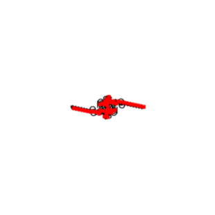 CCCCCCCCCCCCCCCC(=O)OCCC1CCN(CCCN2c3ccccc3Sc3cc(S(=O)(=O)N(C)C)cc(OC(=O)C(=O)Oc4cc(S(=O)(=O)N(C)C)cc5c4N(CCCN4CCC(CCOC(=O)CCCCCCCCCCCCCCC)CC4)c4ccccc4S5)c32)CC1